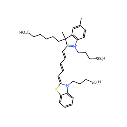 Cc1ccc2c(c1)C(C)(CCCCCC(=O)O)C(/C=C/C=C/C=C1/Sc3ccccc3N1CCCS(=O)(=O)O)=[N+]2CCCS(=O)(=O)O